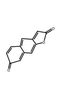 O=C1C=Cc2cc3c(cc2=C1)OC(=O)C=3